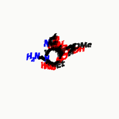 CC[C@H]1OC(=O)[C@H](C)[C@@H](O[C@H]2C[C@@](C)(OC)[C@@H](O)[C@H](C)O2)[C@H](C)[C@@H](O[C@@H]2O[C@H](C)C[C@H](N(C)C)[C@H]2O)C(C)(O)C[C@@H](C)CN(CCCN)[C@H](C)[C@@H](O)[C@]1(C)O